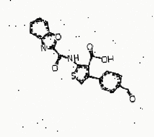 O=Cc1ccc(-c2csc(NC(=O)c3nc4ccccc4o3)c2C(=O)O)cc1